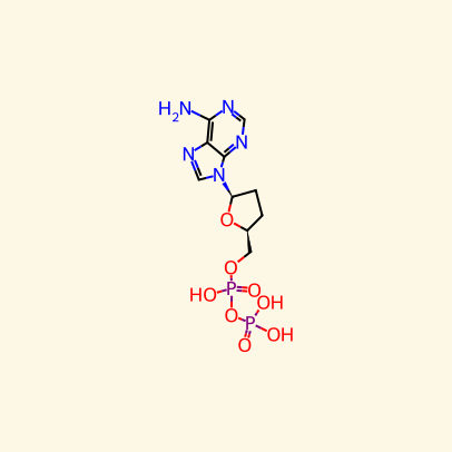 Nc1ncnc2c1ncn2[C@H]1CC[C@@H](COP(=O)(O)OP(=O)(O)O)O1